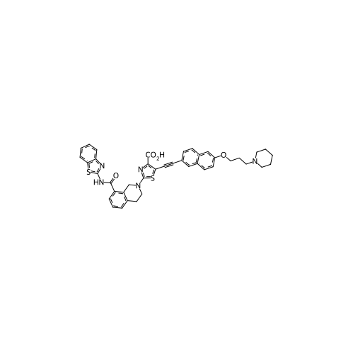 O=C(Nc1nc2ccccc2s1)c1cccc2c1CN(c1nc(C(=O)O)c(C#Cc3ccc4cc(OCCCN5CCCCC5)ccc4c3)s1)CC2